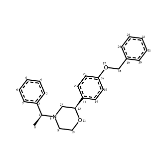 C[C@@H](c1ccccc1)N1CCO[C@H](c2ccc(OCc3ccccc3)cc2)C1